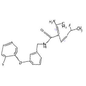 C/C(N)=C(\C=C/C(C)F)C(=O)NCc1cccc(Oc2ccccc2F)c1